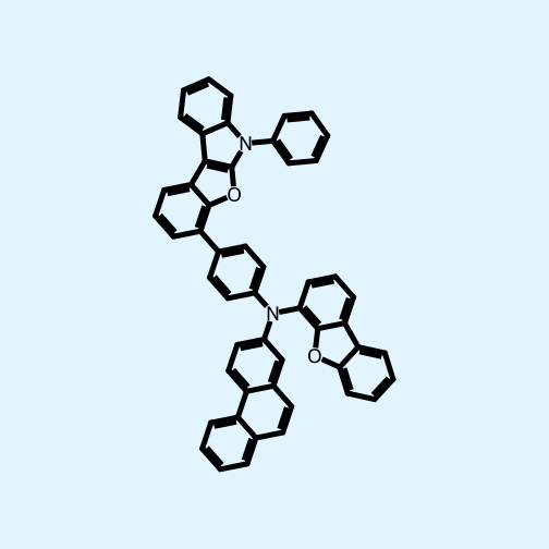 c1ccc(-n2c3ccccc3c3c4cccc(-c5ccc(N(c6ccc7c(ccc8ccccc87)c6)c6cccc7c6oc6ccccc67)cc5)c4oc32)cc1